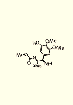 COC(=O)N=C(SC)C(=N)c1cc(O)c(OC)c(OC)c1